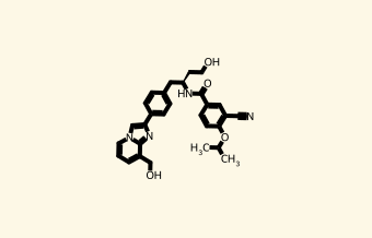 CC(C)Oc1ccc(C(=O)N[C@H](CCO)Cc2ccc(-c3cn4cccc(CO)c4n3)cc2)cc1C#N